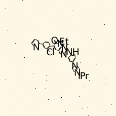 CCn1c(=O)c(-c2ccc(-c3ccccn3)cc2Cl)cc2cnc(Nc3ccc(N4CCN(C(C)C)CC4)cc3)nc21